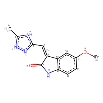 Cc1nnc(/C=C2\C(=O)Nc3ccc(OC(C)C)cc32)[nH]1